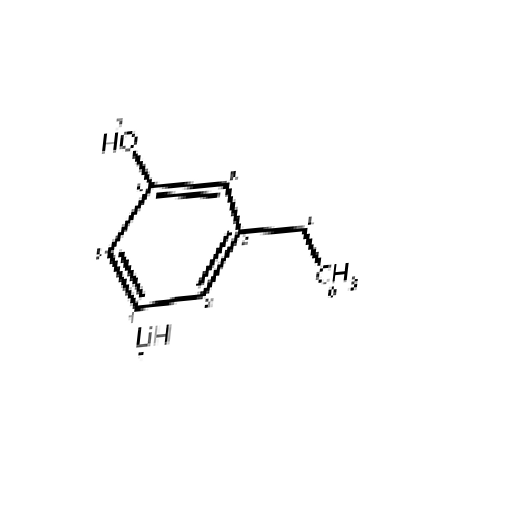 CCc1cccc(O)c1.[LiH]